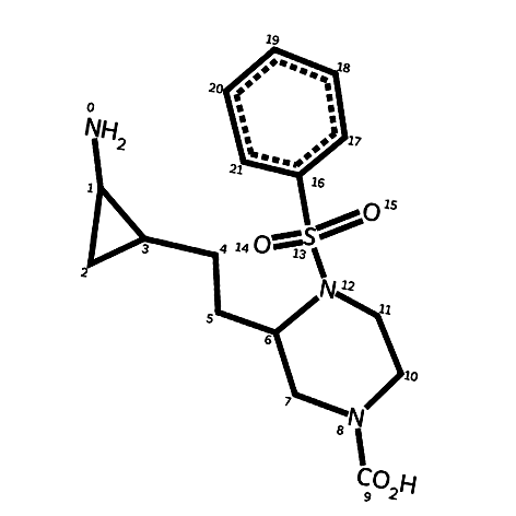 NC1CC1CCC1CN(C(=O)O)CCN1S(=O)(=O)c1ccccc1